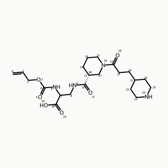 C=CCOC(=O)NC(CNC(=O)[C@@H]1CCCN(C(=O)CCC2CCNCC2)C1)C(=O)O